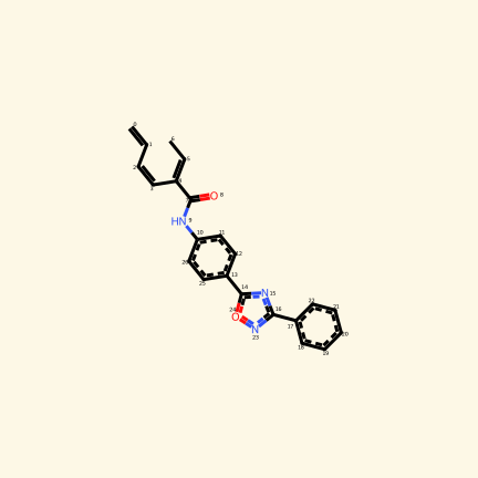 C=C/C=C\C(=C/C)C(=O)Nc1ccc(-c2nc(-c3ccccc3)no2)cc1